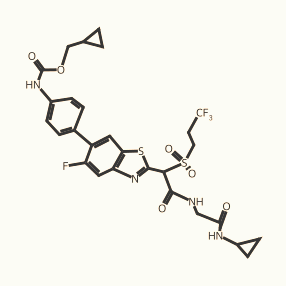 O=C(CNC(=O)C(c1nc2cc(F)c(-c3ccc(NC(=O)OCC4CC4)cc3)cc2s1)S(=O)(=O)CCC(F)(F)F)NC1CC1